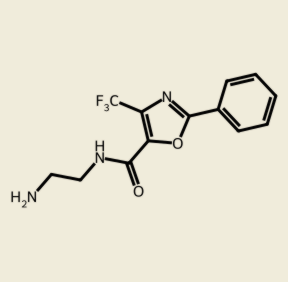 NCCNC(=O)c1oc(-c2ccccc2)nc1C(F)(F)F